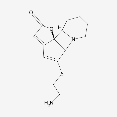 NCCSC1=CC2=CC(=O)O[C@@]23C1N1CCCC[C@@H]13